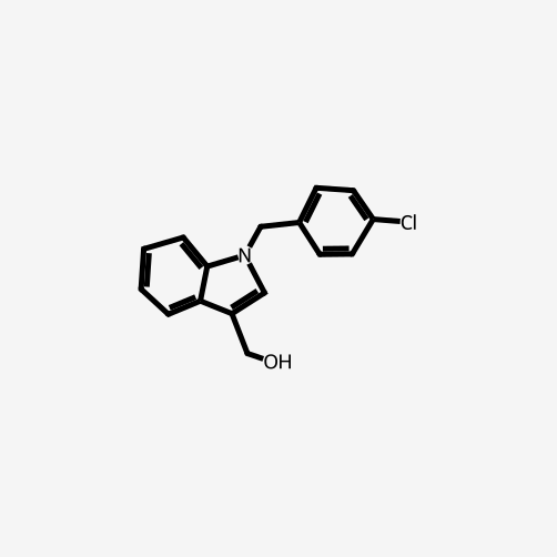 OCc1cn(Cc2ccc(Cl)cc2)c2ccccc12